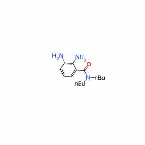 CCCCN(CCCC)C(=O)c1cccc(N)c1N